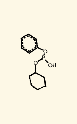 OP(Oc1ccccc1)OC1CCCCC1